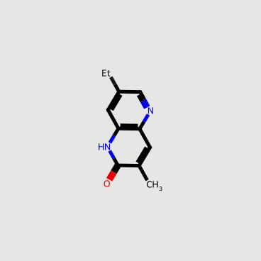 CCc1cnc2cc(C)c(=O)[nH]c2c1